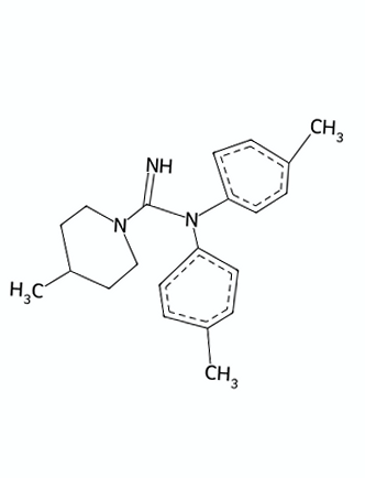 Cc1ccc(N(C(=N)N2CCC(C)CC2)c2ccc(C)cc2)cc1